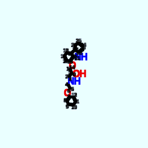 OC(CNCCOc1ccccc1)COc1cccc2c1[nH]c1ccccc12